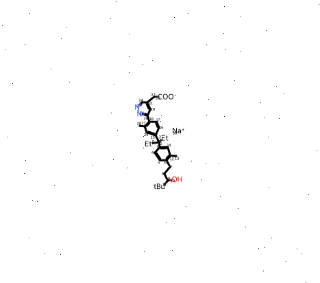 CCC(CC)(c1ccc(CCC(O)C(C)(C)C)c(C)c1)c1ccc(-c2cc(CC(=O)[O-])cnn2)c(C)c1.[Na+]